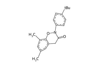 Cc1cc(C)c2c(c1)CC(=O)N(c1ccc(C(C)(C)C)cc1)O2